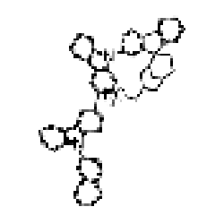 CCC1CC2CCC3(c4ccccc4-c4ccc(-n5c6ccccc6c6cc(-c7ccc8c(c7)c7ccccc7n8-c7ccc8ccccc8c7)ccc65)cc43)C(C1)C2